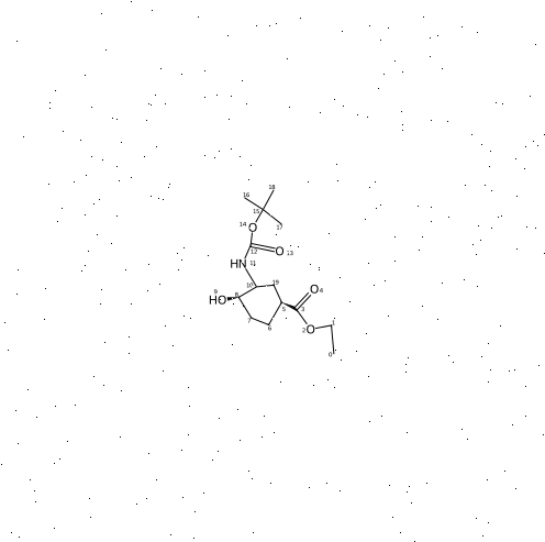 CCOC(=O)[C@H]1CC[C@@H](O)C(NC(=O)OC(C)(C)C)C1